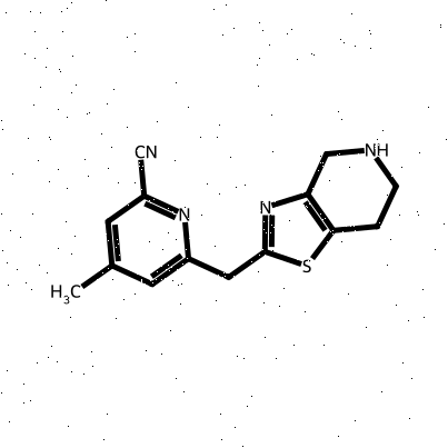 Cc1cc(C#N)nc(Cc2nc3c(s2)CCNC3)c1